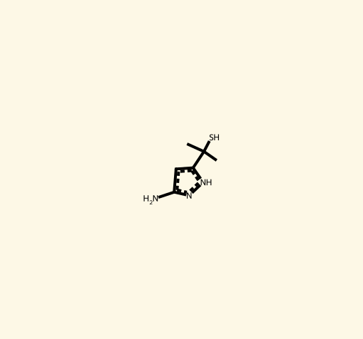 CC(C)(S)c1cc(N)n[nH]1